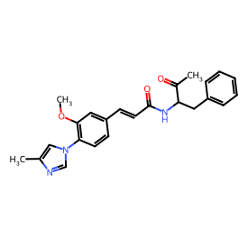 COc1cc(C=CC(=O)NC(Cc2ccccc2)C(C)=O)ccc1-n1cnc(C)c1